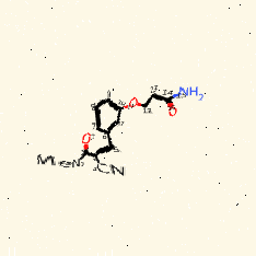 CNC(=O)C(C#N)=Cc1cccc(OCCC(N)=O)c1